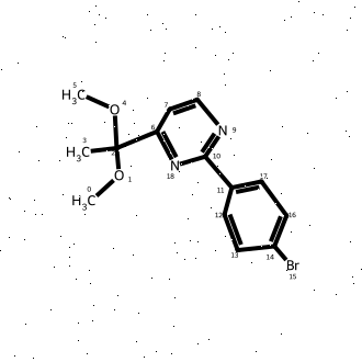 COC(C)(OC)c1ccnc(-c2ccc(Br)cc2)n1